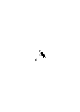 C=O.[CaH2].[Ti]